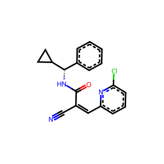 N#CC(=Cc1cccc(Cl)n1)C(=O)N[C@@H](c1ccccc1)C1CC1